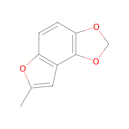 Cc1cc2c3c(ccc2o1)OCO3